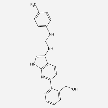 OCc1ccccc1-c1ccc2c(NCNc3ccc(C(F)(F)F)cc3)c[nH]c2n1